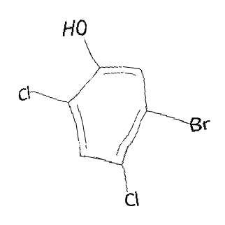 Oc1cc(Br)c(Cl)cc1Cl